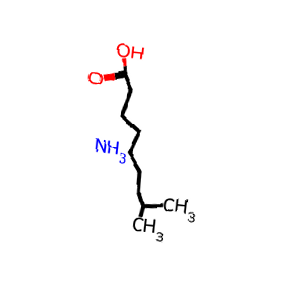 CC(C)CCCCCCC(=O)O.N